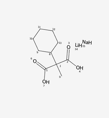 CC(C(=O)O)(C(=O)O)C1CCCCC1.[LiH].[NaH]